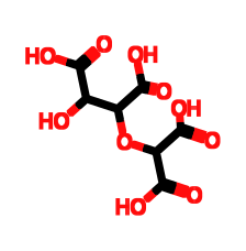 O=C(O)C(OC(C(=O)O)C(O)C(=O)O)C(=O)O